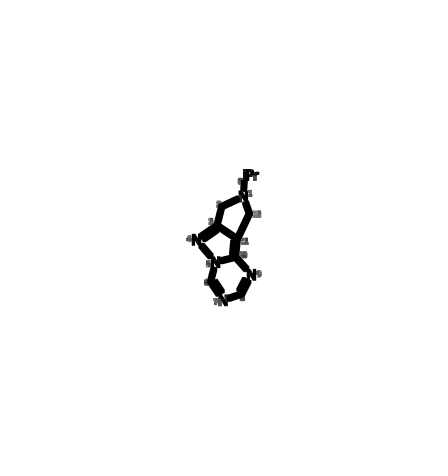 CC(C)N1Cc2nn3cncnc3c2C1